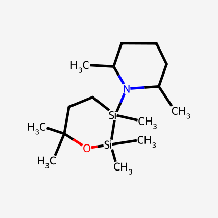 CC1CCCC(C)N1[Si]1(C)CCC(C)(C)O[Si]1(C)C